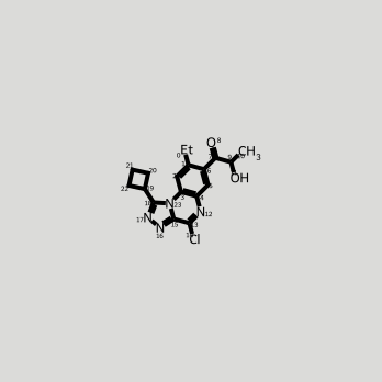 CCc1cc2c(cc1C(=O)C(C)O)nc(Cl)c1nnc(C3CCC3)n12